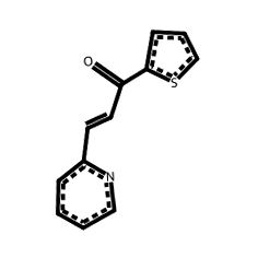 O=C(C=Cc1ccccn1)c1cccs1